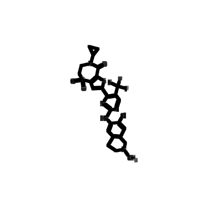 CN1CCc2cc(Nc3ncc(C(F)(F)F)c(-c4cc5c(s4)C(=O)N(C4CC4)CCS5(=O)=O)n3)c(Cl)cc2C1